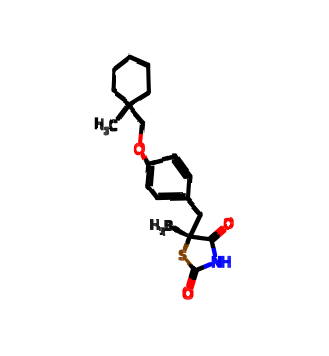 B[C@]1(Cc2ccc(OCC3(C)CCCCC3)cc2)SC(=O)NC1=O